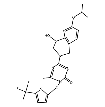 Cc1nc(N2Cc3ccc(OC(C)C)cc3C(O)C2)nc(=O)n1Cc1ccc(C(F)(F)F)s1